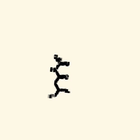 CCCC(CC)CC(=O)N[SH](=O)=O